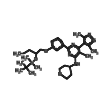 CCCC(COc1cccc(-c2nc(NC3CCOCC3)c(C)c(-c3c(C)nsc3C)n2)c1)O[Si](C)(C)C(C)(C)C